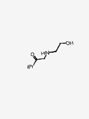 CC(C)C(=O)CNCCO